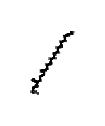 CCOC(=O)CCCNCCOCCOCCOCCN=[N+]=[N-]